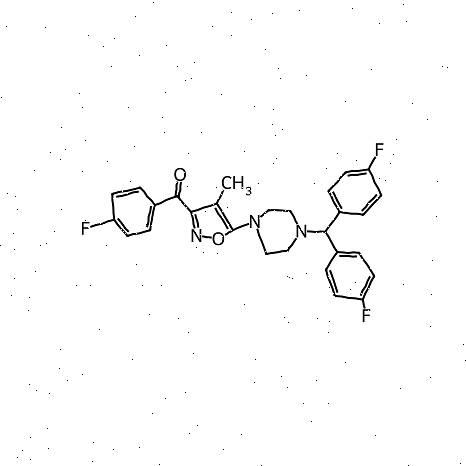 Cc1c(C(=O)c2ccc(F)cc2)noc1N1CCN(C(c2ccc(F)cc2)c2ccc(F)cc2)CC1